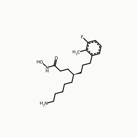 Cc1c(F)cccc1CCC[C@@H](CCCCCN)CCC(=O)NO